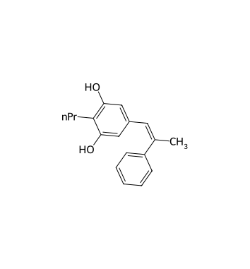 CCCc1c(O)cc(C=C(C)c2ccccc2)cc1O